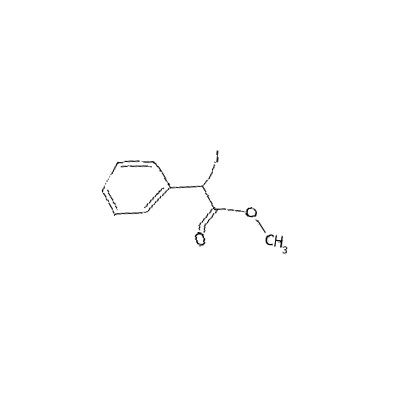 COC(=O)C(I)c1ccccc1